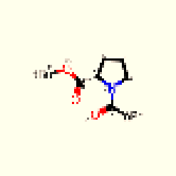 CCCC(=O)N1CCC[C@H]1C(=O)OC(C)(C)C